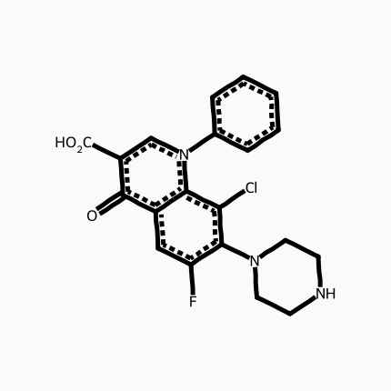 O=C(O)c1cn(-c2ccccc2)c2c(Cl)c(N3CCNCC3)c(F)cc2c1=O